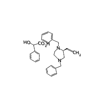 C=C[C@H]1CN(Cc2ccccc2)CCN1Cc1ccccc1.O=C(O)C(O)c1ccccc1